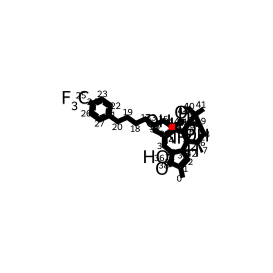 CC1=C[C@H]2[C@@]3(O)[C@H](C)C[C@]4(OC(=O)C(N)CCCCCCc5ccc(C(F)(F)F)cc5)[C@H]([C@@H]3C=C(CO)C[C@]2(O)C1=O)C4(C)C